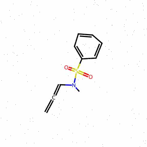 C=C=CN(C)S(=O)(=O)c1ccccc1